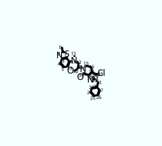 Cc1nc2ccc3c(c2s1)N(C)C[C@H](N1CCc2c(nn(Cc4ccccc4)c2Cl)C1=O)CO3